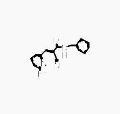 N#C/C(=C\c1cccc(Br)n1)C(=O)NCc1ccccc1